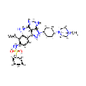 COc1cc(-c2nn(C3CCC(N4CCN(C)CC4)CC3)c3ncnc(N)c23)ccc1NS(=O)(=O)c1ccccc1